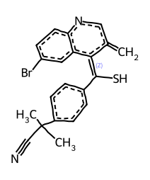 C=c1cnc2ccc(Br)cc2/c1=C(/S)c1ccc(C(C)(C)C#N)cc1